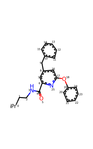 CC(C)CCNC(=O)c1cc(Cc2ccccc2)cc(Oc2ccccc2)n1